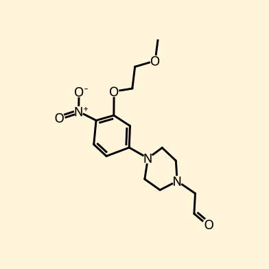 COCCOc1cc(N2CCN(CC=O)CC2)ccc1[N+](=O)[O-]